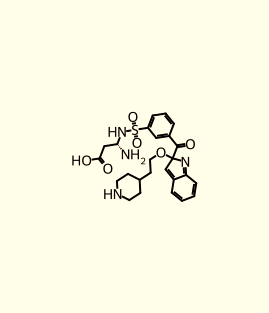 N[C@H](CC(=O)O)NS(=O)(=O)c1cccc(C(=O)C2(OCCC3CCNCC3)C=c3ccccc3=N2)c1